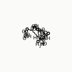 NC(=O)CC[C@H](NC(=O)[C@@H]1Cc2cccc3c2N1C(=O)[C@@H](NC(=O)c1cc2cc(C(=O)P(=O)(O)O)ccc2[nH]1)CC3)C(=O)N[C@H](C(=O)NCCCCCCCC#Cc1cccc2c1CN(C1CCC(=O)NC1=O)C2=O)c1ccccc1